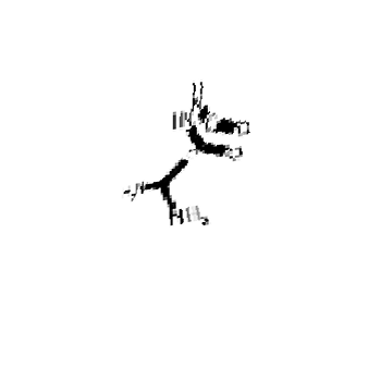 N=C=O.N=C=O.NC(N)=O